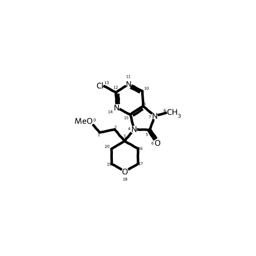 COCCC1(n2c(=O)n(C)c3cnc(Cl)nc32)CCOCC1